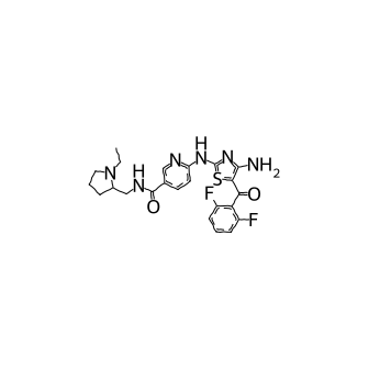 CCN1CCCC1CNC(=O)c1ccc(Nc2nc(N)c(C(=O)c3c(F)cccc3F)s2)nc1